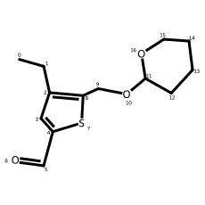 CCc1cc(C=O)sc1COC1CCCCO1